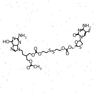 CC(=O)OCC(CCN1C=NC2C(O)=NC(N)=NC21)COC(=O)OCCSSCCOC(=O)OC[C@@H]1OC(n2cc(F)c(N)nc2=O)CS1